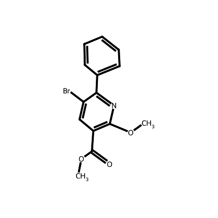 COC(=O)c1cc(Br)c(-c2ccccc2)nc1OC